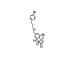 O=P(O)(O)C(F)(F)c1ccc(COCCCc2ccc(Br)cc2)cc1Br